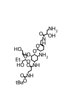 CC[C@@H](O)[C@H](OCCO)O[C@@H]1[C@@H](O)[C@H](O[C@@H]2CCC=C(CNC(=O)C(O)CN)O2)[C@@H](N)C[C@H]1NC(=O)CCNC(=O)OC(C)(C)C